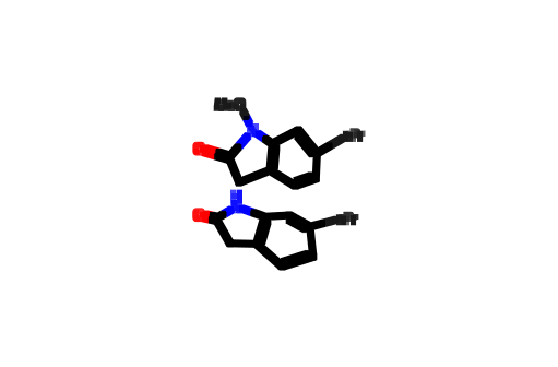 CCCc1ccc2c(c1)N(OC)C(=O)C2.CCCc1ccc2c(c1)NC(=O)C2